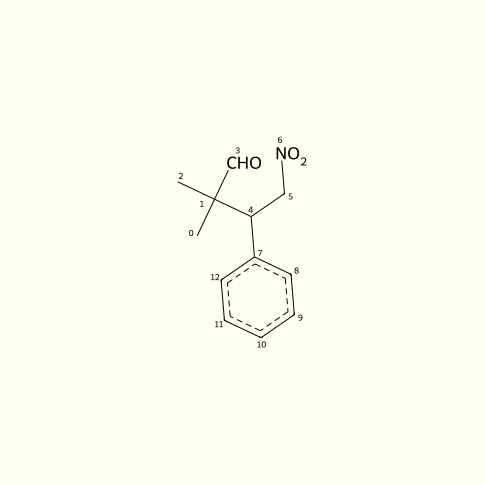 CC(C)(C=O)C(C[N+](=O)[O-])c1ccccc1